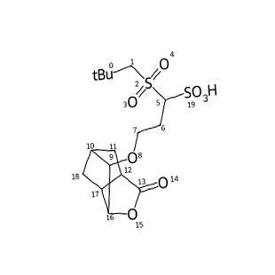 CC(C)(C)CS(=O)(=O)C(CCOC1C2CC3C(=O)OC1C3C2)S(=O)(=O)O